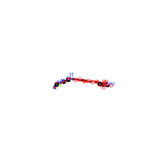 CN(C)c1ccc2nc(-c3ccc(-c4ccc(NCCOCCOCCOCCOCCOCCOc5ccc6c(c5)C(=O)N(C5CCC(=O)NC5=O)C6=O)nc4)cn3)sc2c1